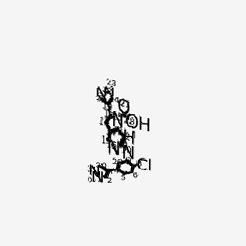 Cn1cc(-c2ccc(Cl)c(Nc3cc4c(cn3)cc(-c3cnn(C)c3)n4C(=O)O)c2)cn1